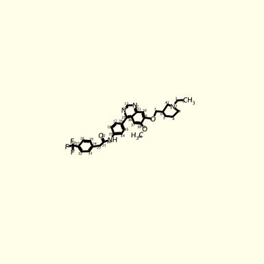 CCN1CCCC(COc2cc3ncnc(-c4ccc(NC(=O)Cc5ccc(C(F)(F)F)cc5)cc4)c3cc2OC)C1